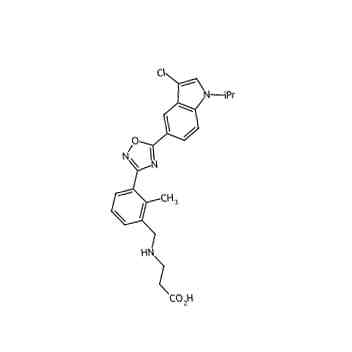 Cc1c(CNCCC(=O)O)cccc1-c1noc(-c2ccc3c(c2)c(Cl)cn3C(C)C)n1